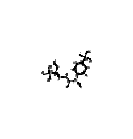 C=C/C(=C\CC(C)N(I)c1ccc(C(C)(C)C)cc1)C(C)(C)C